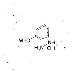 COc1ccccc1.Cl.NN